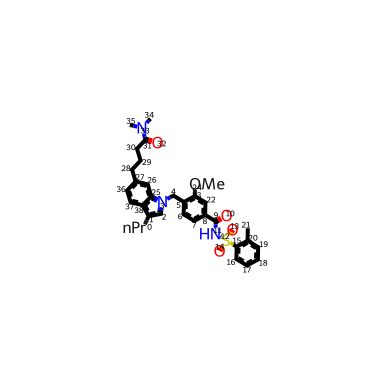 CCCc1cn(Cc2ccc(C(=O)NS(=O)(=O)c3ccccc3C)cc2OC)c2cc(CCCC(=O)N(C)C)ccc12